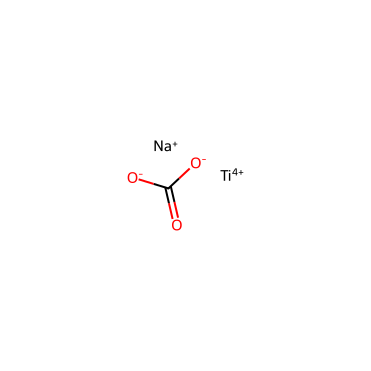 O=C([O-])[O-].[Na+].[Ti+4]